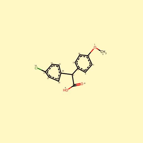 COc1ccc(C(C(=O)O)c2ccc(Cl)cc2)cc1